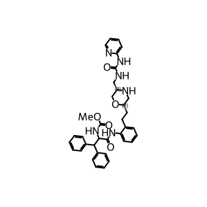 COC(=O)NC(C(=O)Nc1ccccc1CC[C@@H]1CN[C@H](CNC(=O)Nc2ccccn2)CO1)C(c1ccccc1)c1ccccc1